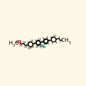 CCCC1CCC(c2ccc(-c3ccc(C4CCC(CCCOC)CC4)cc3F)c(F)c2)CC1